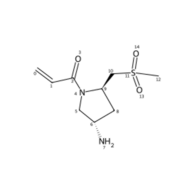 C=CC(=O)N1C[C@@H](N)C[C@@H]1CS(C)(=O)=O